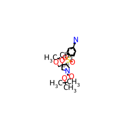 CC(C)(C)OC(=O)N1C[C@H](S(=O)(=O)c2ccc(C#N)cc2)[C@]2(COC(C)(C)O2)C1